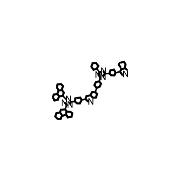 c1ccc(-c2nc(-c3ccc(-c4ccc5ncc(-c6ccc(-c7nc(-c8cc9ccccc9c9ccccc89)nc(-c8cc9ccccc9c9ccccc89)n7)cc6)cc5c4)cc3)nc(-c3ccc(-c4cncc5ccccc45)cc3)n2)cc1